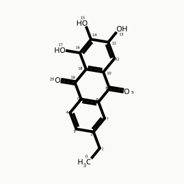 CCc1ccc2c(c1)C(=O)c1cc(O)c(O)c(O)c1C2=O